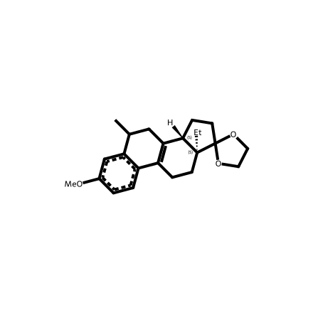 CC[C@]12CCC3=C(CC(C)c4cc(OC)ccc43)[C@@H]1CCC21OCCO1